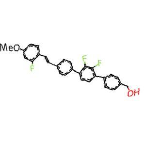 COc1ccc(/C=C/c2ccc(-c3ccc(-c4ccc(CO)cc4)c(F)c3F)cc2)c(F)c1